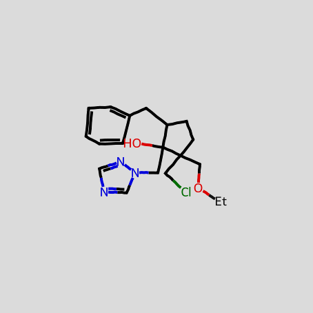 CCOCC1(CCl)CCC(Cc2ccccc2)C1(O)Cn1cncn1